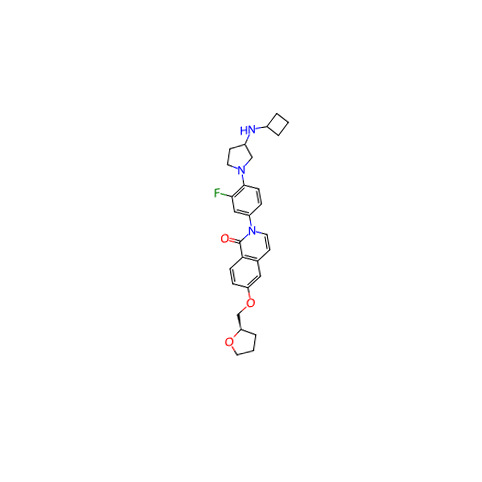 O=c1c2ccc(OC[C@H]3CCCO3)cc2ccn1-c1ccc(N2CCC(NC3CCC3)C2)c(F)c1